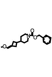 COC=C1CC(C2CCN(C(=O)OCc3ccccc3)CC2)C1